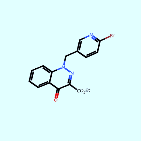 CCOC(=O)c1nn(Cc2ccc(Br)nc2)c2ccccc2c1=O